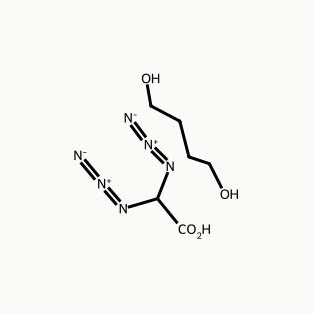 OCCCCO.[N-]=[N+]=NC(N=[N+]=[N-])C(=O)O